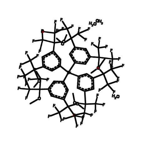 COC(c1cc([B-](c2cc(C(OC)(C(F)(F)F)C(F)(F)F)cc(C(OC)(C(F)(F)F)C(F)(F)F)c2)(c2cc(C(OC)(C(F)(F)F)C(F)(F)F)cc(C(OC)(C(F)(F)F)C(F)(F)F)c2)c2cc(C(OC)(C(F)(F)F)C(F)(F)F)cc(C(OC)(C(F)(F)F)C(F)(F)F)c2)cc(C(OC)(C(F)(F)F)C(F)(F)F)c1)(C(F)(F)F)C(F)(F)F.O.O.O